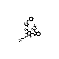 Cc1c(C(=O)Nc2cnn(Cc3ccccc3)c2)cc(-c2cc3ccccc3n2C(=O)OC(C)(C)C)c(=O)n1COCC[Si](C)(C)C